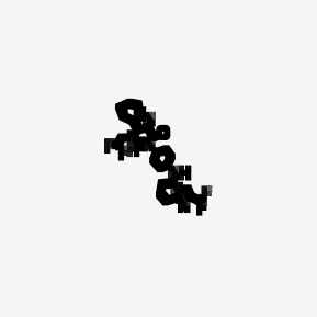 O=C(N[C@H]1CC[C@@H](Nc2cccc3nc(C(F)F)cn23)CC1)c1nn2ccccc2c1NCC(F)F